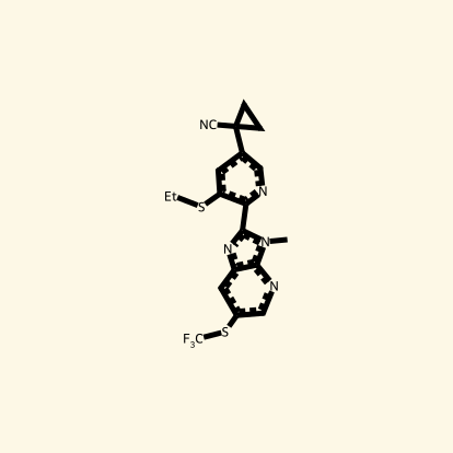 CCSc1cc(C2(C#N)CC2)cnc1-c1nc2cc(SC(F)(F)F)cnc2n1C